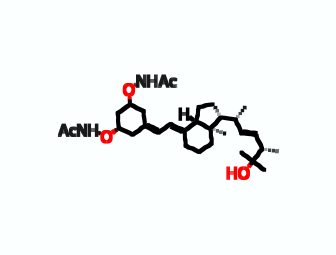 CC(=O)NOC1C/C(=C\C=C2/CCC[C@]3(C)[C@@H]([C@H](C)/C=C/[C@H](C)C(C)(C)O)CC[C@@H]23)C[C@@H](ONC(C)=O)C1